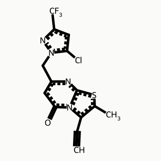 C#Cc1c(C)sc2nc(Cn3nc(C(F)(F)F)cc3Cl)cc(=O)n12